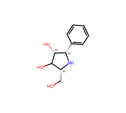 OC[C@H]1N[C@@H](c2ccccc2)[C@@H](O)C1O